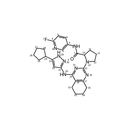 O=C(Nc1ccc(F)nc1)C1CCCN1c1nc2c(c(Nc3cc(C4CCCC4)[nH]n3)n1)CCCC2